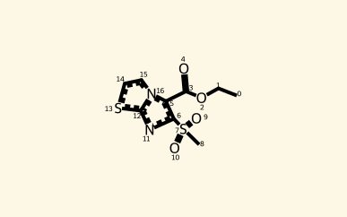 CCOC(=O)c1c(S(C)(=O)=O)nc2sccn12